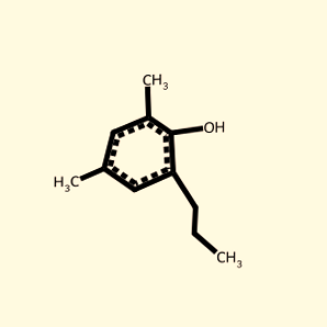 CCCc1cc(C)cc(C)c1O